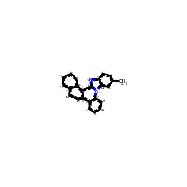 Cc1ccc2nc3c4c5ccccc5ccc4c4ccccc4n3c2c1